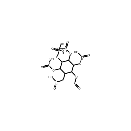 O=POC1C(O[PH](=O)O)C(O[PH](=O)O)C(OP(=O)(O)O)C(O[PH](=O)O)C1O[PH](=O)O